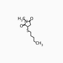 CCCCCSC1CC(=O)N(C)C1=O